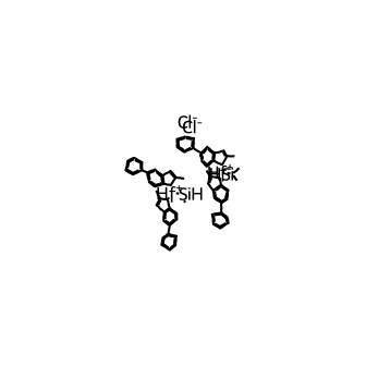 CC1=Cc2cc(-c3ccccc3)ccc2[CH]1[Hf+]([CH]1C(C)=Cc2cc(-c3ccccc3)ccc21)[SiH](C)C.CC1=Cc2cc(-c3ccccc3)ccc2[CH]1[Hf+]([CH]1C(C)=Cc2cc(-c3ccccc3)ccc21)[SiH](C)C.[Cl-].[Cl-]